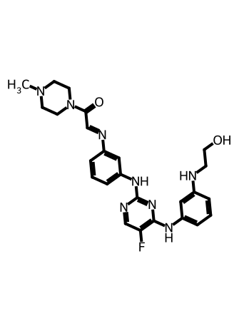 CN1CCN(C(=O)C=Nc2cccc(Nc3ncc(F)c(Nc4cccc(NCCO)c4)n3)c2)CC1